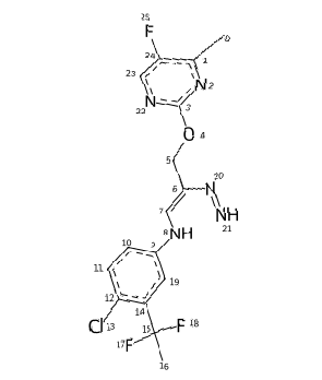 Cc1nc(OC/C(=C/Nc2ccc(Cl)c(C(C)(F)F)c2)N=N)ncc1F